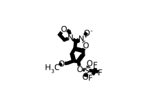 COCc1cc2c(N3CCOC3)[n+]([O-])oc2cc1OS(=O)(=O)C(F)(F)F